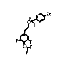 CCc1ccc(C(F)(F)OCCc2cc(F)c(OC(F)F)c(F)c2)cc1